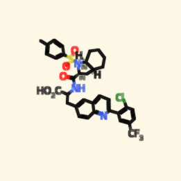 Cc1ccc(S(=O)(=O)N2[C@H](C(=O)NC(Cc3ccc4nc(-c5cc(C(F)(F)F)ccc5Cl)ccc4c3)C(=O)O)C[C@@H]3CCCC[C@@H]32)cc1